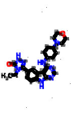 CCn1c(-c2ccc3[nH]c4ncnc(NC5CCC(N6CCOCC6)CC5)c4c3c2)n[nH]c1=O